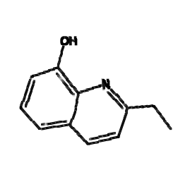 CCc1ccc2cccc(O)c2n1